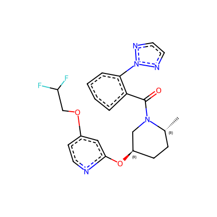 C[C@@H]1CC[C@@H](Oc2cc(OCC(F)F)ccn2)CN1C(=O)c1ccccc1-n1nccn1